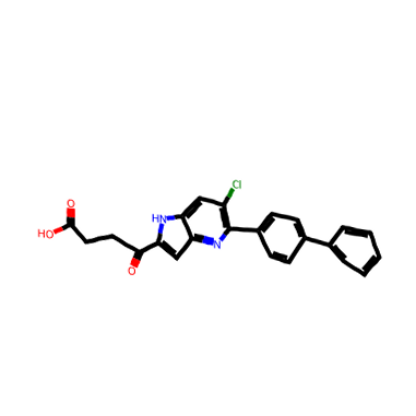 O=C(O)CCC(=O)c1cc2nc(-c3ccc(-c4ccccc4)cc3)c(Cl)cc2[nH]1